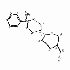 CCC[Si@]1(c2ccccc2)CC[C@@H](C2CCC(CBr)CC2)CC1